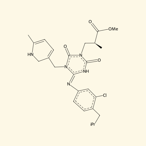 COC(=O)[C@@H](C)Cn1c(=O)[nH]/c(=N\c2ccc(CC(C)C)c(Cl)c2)n(CC2=CC=C(C)NC2)c1=O